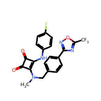 CN(Cc1ccc(-c2noc(C(F)(F)F)n2)cc1)c1c(Nc2ccc(F)cc2)c(=O)c1=O